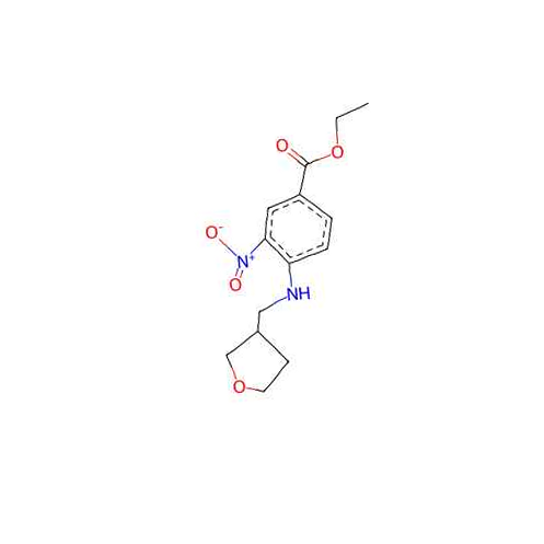 CCOC(=O)c1ccc(NCC2CCOC2)c([N+](=O)[O-])c1